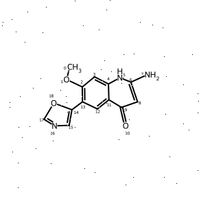 COc1cc2[nH]c(N)cc(=O)c2cc1-c1cnco1